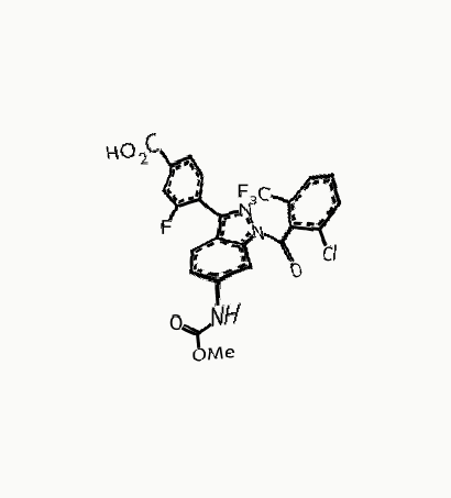 COC(=O)Nc1ccc2c(-c3ccc(C(=O)O)cc3F)nn(C(=O)c3c(Cl)cccc3C(F)(F)F)c2c1